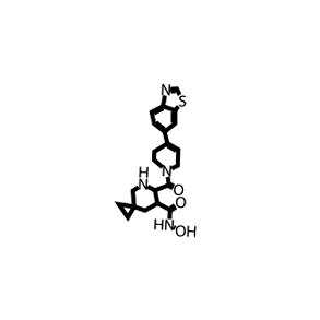 O=C(NO)C1CC2(CC2)CNC1C(=O)N1CC=C(c2ccc3ncsc3c2)CC1